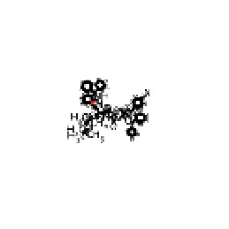 CC(C)(C)OC(=O)C(C)(C)ON=C(C(=O)NC1C(=O)N2CC(C=Cc3ccc(C#N)cc3)(C(=O)OC(c3ccccc3)c3ccccc3)CS[C@H]12)c1csc(NC(c2ccccc2)(c2ccccc2)c2ccccc2)n1